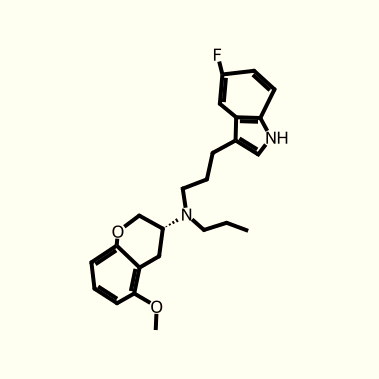 CCCN(CCCc1c[nH]c2ccc(F)cc12)[C@H]1COc2cccc(OC)c2C1